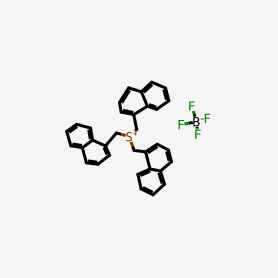 F[B-](F)(F)F.c1ccc2c(C[S+](Cc3cccc4ccccc34)Cc3cccc4ccccc34)cccc2c1